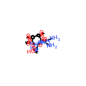 CC(=O)Oc1ccc2cc1C[C@H](NC(=O)OC(C)(C)C)C(=O)N[C@@H](CCCN(C(=O)O)C(C)(C)C)C(=O)N[C@H](C(=O)N[C@@H](CCN)C(=O)NCCN)Cc1cc-2ccc1OC(C)=O